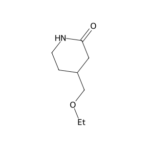 CCOCC1CCNC(=O)C1